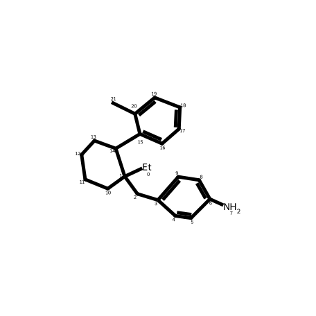 CCC1(Cc2ccc(N)cc2)CCCCC1c1ccccc1C